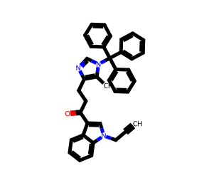 C#CCn1cc(C(=O)CCc2ncn(C(c3ccccc3)(c3ccccc3)c3ccccc3)c2C)c2ccccc21